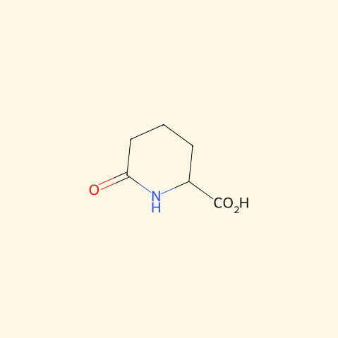 O=C1CCCC(C(=O)O)N1